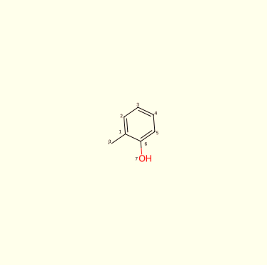 [CH2]c1ccccc1O